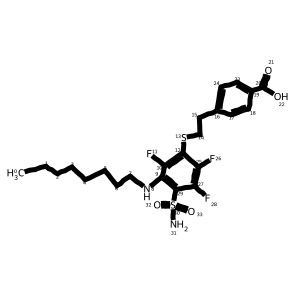 CCCCCCCCNc1c(F)c(SCCc2ccc(C(=O)O)cc2)c(F)c(F)c1S(N)(=O)=O